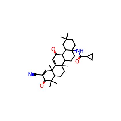 CC1(C)CCC2(NC(=O)C3CC3)CCC3C(C(=O)C=C4C5(C)C=C(C#N)C(=O)C(C)(C)C5CCC43C)C2C1